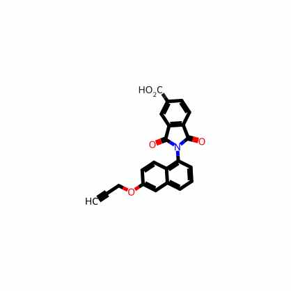 C#CCOc1ccc2c(N3C(=O)c4ccc(C(=O)O)cc4C3=O)cccc2c1